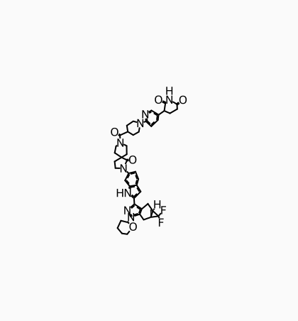 C[C@@]12Cc3c(c(-c4cc5ccc(N6CCC7(CCN(C(=O)C8CCN(c9ccc(C%10CCC(=O)NC%10=O)cn9)CC8)CC7)C6=O)cc5[nH]4)nn3C3CCCCO3)C[C@@H]1C2(F)F